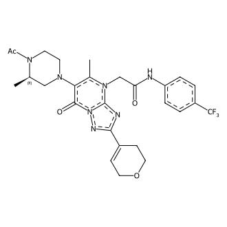 CC(=O)N1CCN(c2c(C)n(CC(=O)Nc3ccc(C(F)(F)F)cc3)c3nc(C4=CCOCC4)nn3c2=O)C[C@H]1C